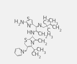 C=C(C)C1=C(C[n+]2ccccc2)CSC2[C@H](NC(=C)/C(=N\CC(C)(C)C(=C)C)c3csc(N)n3)C(=C)N12